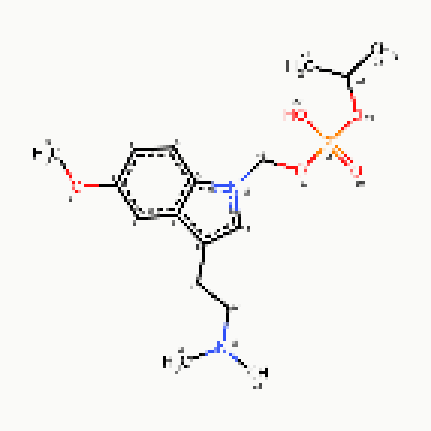 COc1ccc2c(c1)c(CCN(C)C)cn2COP(=O)(O)OC(C)C